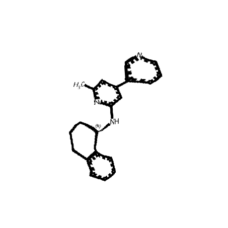 Cc1cc(-c2cccnc2)cc(N[C@@H]2CCCc3ccccc32)n1